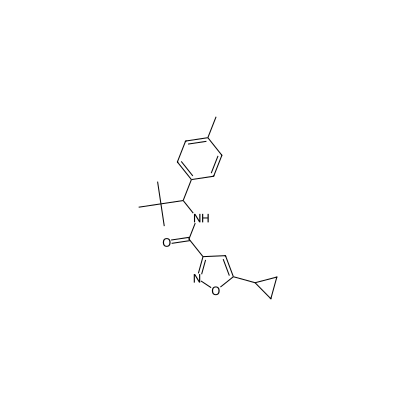 Cc1ccc(C(NC(=O)c2cc(C3CC3)on2)C(C)(C)C)cc1